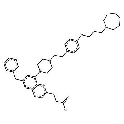 O=C(O)CCc1ccc2cc(Cc3ccccc3)cc(N3CCN(CCc4ccc(OCCCN5CCCCCC5)cc4)CC3)c2n1